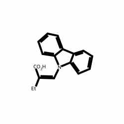 CCC(=Cn1c2ccccc2c2ccccc21)C(=O)O